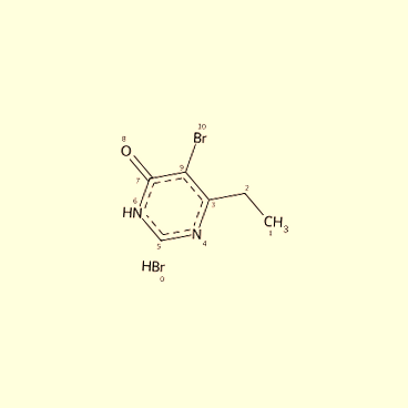 Br.CCc1nc[nH]c(=O)c1Br